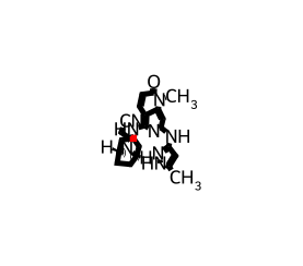 Cc1cc(Nc2cc3c(ccc(=O)n3C)c(N[C@@H]3C[C@H]4CC[C@@H](C3)N4CCC#N)n2)n[nH]1